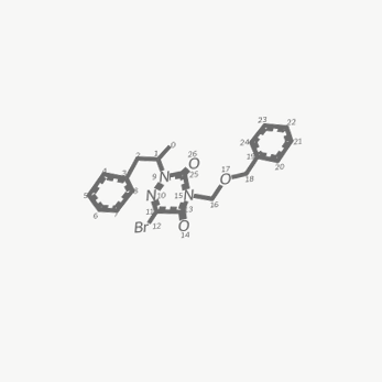 CC(Cc1ccccc1)n1nc(Br)c(=O)n(COCc2ccccc2)c1=O